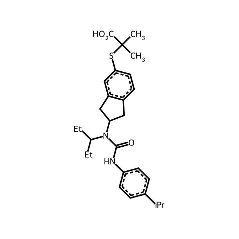 CCC(CC)N(C(=O)Nc1ccc(C(C)C)cc1)C1Cc2ccc(SC(C)(C)C(=O)O)cc2C1